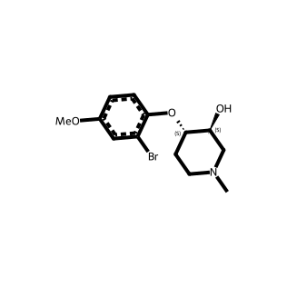 COc1ccc(O[C@H]2CCN(C)C[C@@H]2O)c(Br)c1